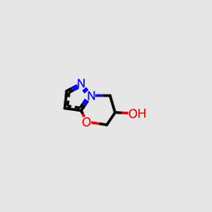 OC1COc2ccnn2C1